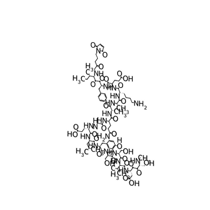 CC[C@H](C)[C@H](NCC(=O)CCCN1C(=O)C=CC1=O)C(=O)C(=O)[C@H](Cc1ccccc1)NC(=O)C(CCC(=O)O)NC(=O)[C@H](CCCCN)NC(=O)C(C)NC(=O)[C@H](C)NC(=O)C(CCC(N)=O)NC(=O)CNN[C@@H](CCC(=O)O)C(=O)NC(CC(C)C)C(=O)N[C@@H](Cc1ccc(O)cc1)C(=O)NC(CO)C(=O)N[C@@H](CO)C(=O)NC(C(=O)N[C@@H](CC(=O)O)C(=O)C(=O)[C@@H](CO)NC)C(C)C